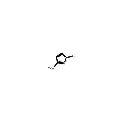 CC(=O)n1ccc(C(=O)O)n1